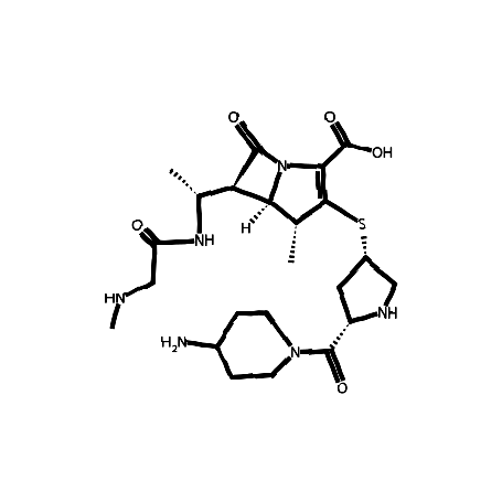 CNCC(=O)N[C@H](C)[C@H]1C(=O)N2C(C(=O)O)=C(S[C@@H]3CN[C@H](C(=O)N4CCC(N)CC4)C3)[C@H](C)[C@@H]12